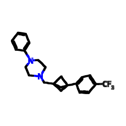 FC(F)(F)c1ccc(C23CC(CN4CCN(c5ccccc5)CC4)(C2)C3)cc1